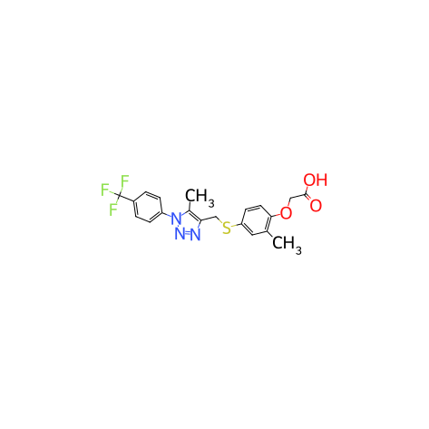 Cc1cc(SCc2nnn(-c3ccc(C(F)(F)F)cc3)c2C)ccc1OCC(=O)O